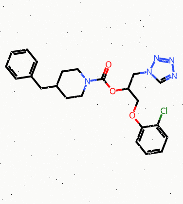 O=C(OC(COc1ccccc1Cl)Cn1cnnn1)N1CCC(Cc2ccccc2)CC1